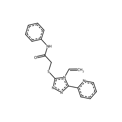 C=Cn1c(SCC(=O)Nc2ccccc2)nnc1-c1ccccn1